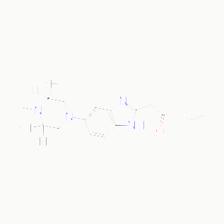 [2H]C1([2H])CN(c2ccc3[nH]c(CC(=O)OCC)nc3c2)CC([2H])([2H])N1C